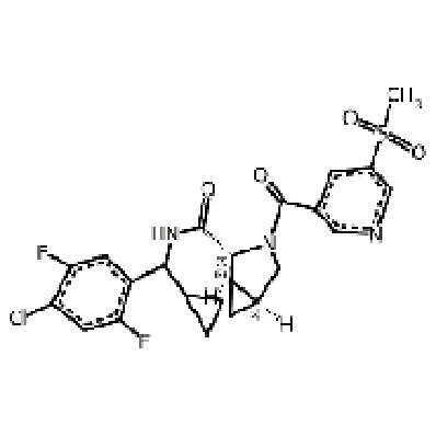 CS(=O)(=O)c1cncc(C(=O)N2C[C@H]3C[C@H]3[C@@H]2C(=O)NC(c2cc(F)c(Cl)cc2F)C2CC2)c1